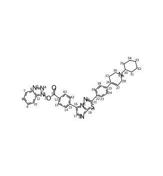 O=C(On1nnc2ccccc21)c1ccc(-c2cnc3sc(-c4ccc(C5=CCN(C6CCCCC6)CC5)cc4)nn23)cc1